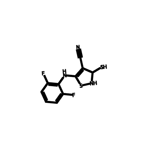 N#CC1=C(Nc2c(F)cccc2F)SNC1S